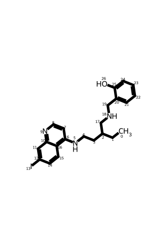 CCC(CCNc1ccnc2cc(I)ccc12)CNCc1ccccc1O